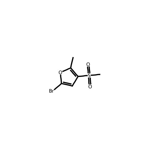 Cc1oc(Br)cc1S(C)(=O)=O